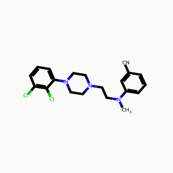 CN(CCN1CCN(c2cccc(Cl)c2Cl)CC1)c1cccc(C#N)c1